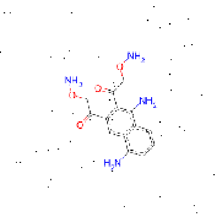 NOCC(=O)c1cc2c(N)cccc2c(N)c1C(=O)CON